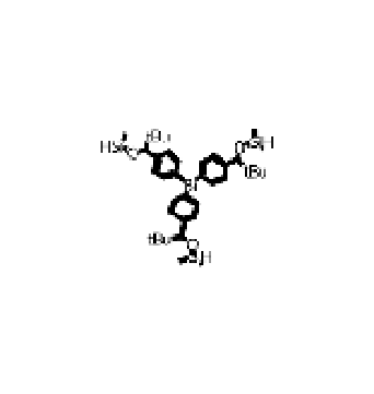 C[SiH](C)OC(c1cc[c]([Bi]([c]2ccc(C(O[SiH](C)C)C(C)(C)C)cc2)[c]2ccc(C(O[SiH](C)C)C(C)(C)C)cc2)cc1)C(C)(C)C